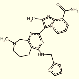 Cc1nc2c(C(N)=O)cccn2c1-c1nc2c(c(NCc3cccs3)n1)CCCN(C)C2